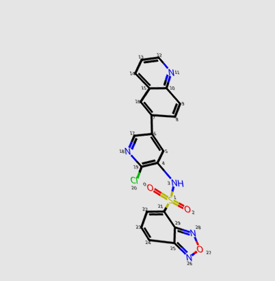 O=S(=O)(Nc1cc(-c2ccc3ncccc3c2)cnc1Cl)c1cccc2nonc12